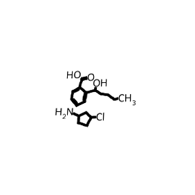 CCCCC(O)c1ccccc1C(=O)O.NC1CCC(Cl)C1